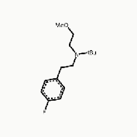 COCCN(CCc1ccc(F)cc1)C(C)(C)C